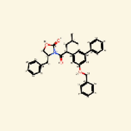 CC(C)C[C@H](C(=O)N1C(=O)OC[C@@H]1Cc1ccccc1)c1cc(OCc2ccccc2)cc(-c2ccccc2)c1